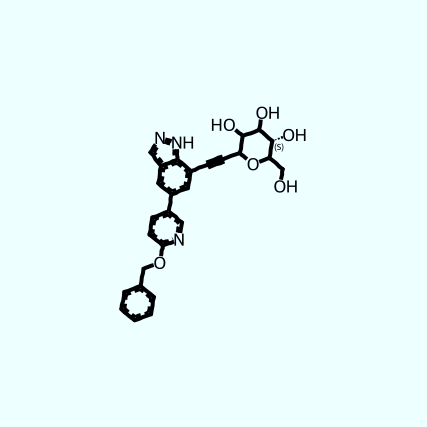 OCC1OC(C#Cc2cc(-c3ccc(OCc4ccccc4)nc3)cc3cn[nH]c23)C(O)C(O)[C@@H]1O